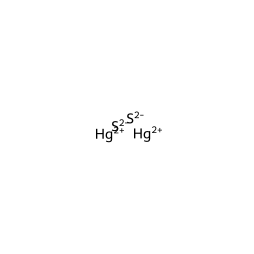 [Hg+2].[Hg+2].[S-2].[S-2]